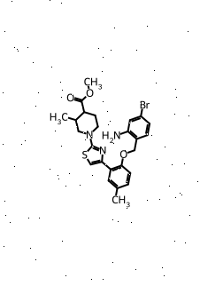 COC(=O)C1CCN(c2nc(-c3cc(C)ccc3OCc3ccc(Br)cc3N)cs2)CC1C